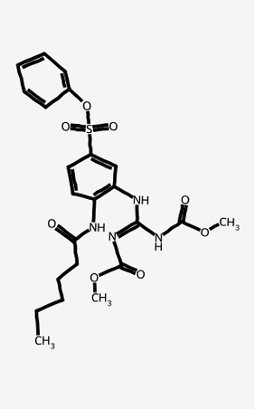 CCCCCC(=O)Nc1ccc(S(=O)(=O)Oc2ccccc2)cc1NC(=NC(=O)OC)NC(=O)OC